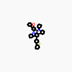 c1ccc(N2B3c4cc5oc6ccccc6c5cc4-n4c5ccccc5c5c(-c6ccc7c(c6)sc6ccccc67)cc(c3c54)-c3ccccc32)cc1